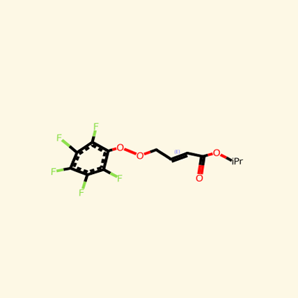 CC(C)OC(=O)/C=C/COOc1c(F)c(F)c(F)c(F)c1F